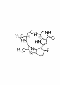 Cc1nc2ccc(F)c3c2nc1N[C@@H](C)CCC[C@H]1CNC(=O)c2cc-3[nH]c21